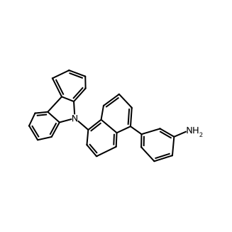 Nc1cccc(-c2cccc3c(-n4c5ccccc5c5ccccc54)cccc23)c1